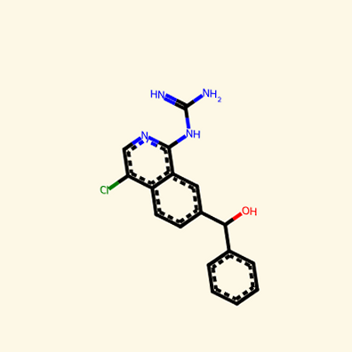 N=C(N)Nc1ncc(Cl)c2ccc(C(O)c3ccccc3)cc12